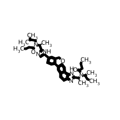 CCCC(=O)N(CC(C)C)[C@@H](C)c1ncc(-c2ccc3c(c2)COc2cc4c(ccc5nc([C@H](C)N(C(=O)CCC)C(C)CC)[nH]c54)cc2-3)[nH]1